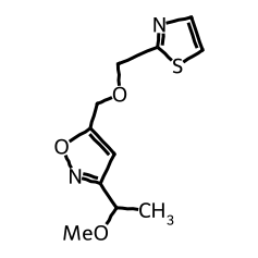 COC(C)c1cc(COCc2nccs2)on1